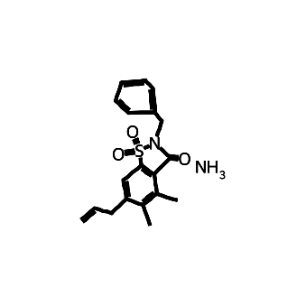 C=CCc1cc2c(c(C)c1C)C(=O)N(Cc1ccccc1)S2(=O)=O.N